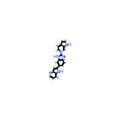 c1cnc2cc(-c3ccc4nc(-[n+]5ccc6cc[nH]c6c5)[nH]c4c3)[nH]c2c1